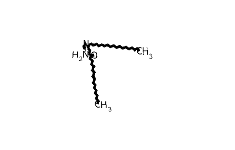 CCCCCCCCCCCCCCCCCCC1=NCCN1CC(N)C(=O)CCCCCCCCCCCCCCCCC